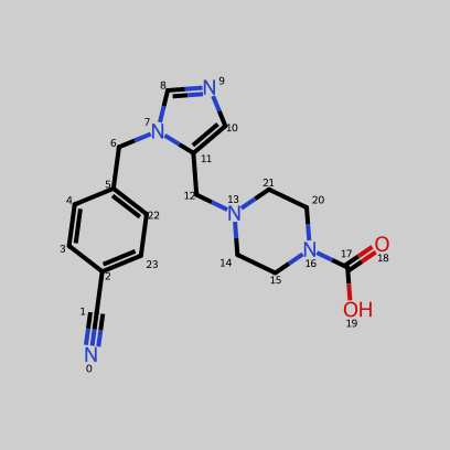 N#Cc1ccc(Cn2cncc2CN2CCN(C(=O)O)CC2)cc1